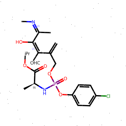 C=C(COP(=O)(N[C@@H](C)C(=O)OC(C)C)Oc1ccc(Cl)cc1)/C(C=O)=C(O)\C(C)=N/C